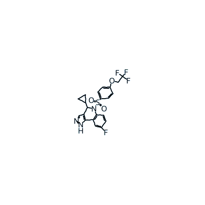 O=S(=O)(c1ccc(OCC(F)(F)F)cc1)N1c2ccc(F)cc2-c2[nH]ncc2C1C1CC1